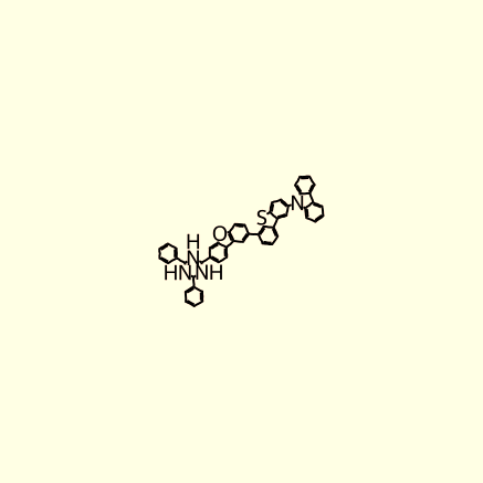 c1ccc(C2NC(c3ccccc3)NC(c3ccc4c(c3)oc3ccc(-c5cccc6c5sc5ccc(-n7c8ccccc8c8ccccc87)cc56)cc34)N2)cc1